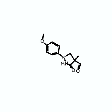 COc1ccc(N2CC(C)(C=O)C(=O)N2)cc1